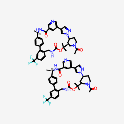 CC(=O)N1CCC(n2cc(-c3cncc(C(=O)N[C@H](C)c4ccc(-c5cc(C(F)(F)F)ccc5CNC(=O)OC(C)(C)C)cc4)c3)cn2)CC1.CC(=O)N1CCC(n2cc(-c3cncc(C(=O)N[C@H](C)c4ccc(-c5cc(C(F)(F)F)ccc5CNC(=O)OC(C)(C)C)cc4)c3)cn2)CC1